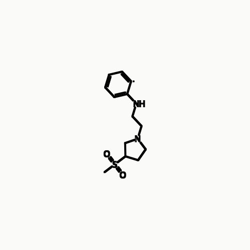 CS(=O)(=O)C1CCN(CCNc2[c]cccc2)C1